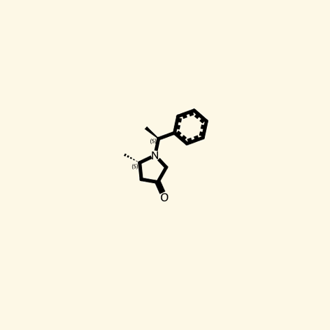 C[C@H]1CC(=O)CN1[C@@H](C)c1ccccc1